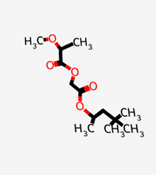 COC(C)C(=O)OCC(=O)OC(C)CC(C)(C)C